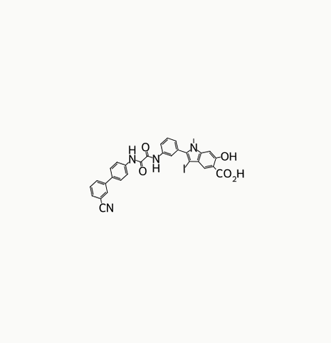 Cn1c(-c2cccc(NC(=O)C(=O)Nc3ccc(-c4cccc(C#N)c4)cc3)c2)c(I)c2cc(C(=O)O)c(O)cc21